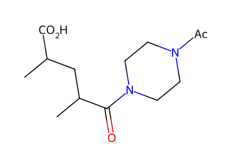 CC(=O)N1CCN(C(=O)C(C)CC(C)C(=O)O)CC1